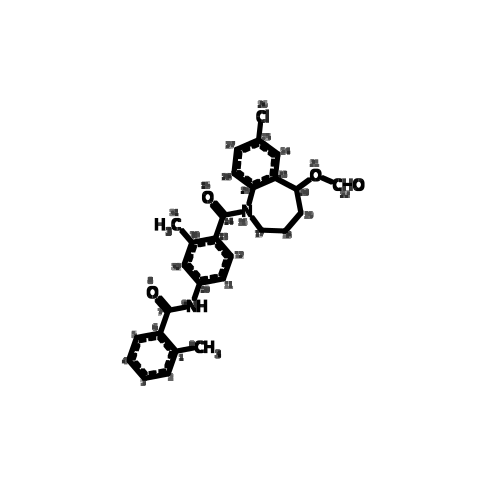 Cc1ccccc1C(=O)Nc1ccc(C(=O)N2CCCC(OC=O)c3cc(Cl)ccc32)c(C)c1